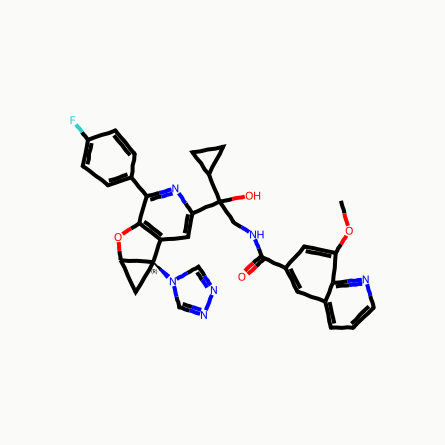 COc1cc(C(=O)NCC(O)(c2cc3c(c(-c4ccc(F)cc4)n2)OC2C[C@@]32n2cnnc2)C2CC2)cc2cccnc12